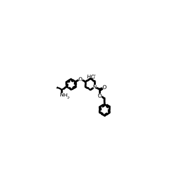 CC(N)c1ccc(OC2CCN(C(=O)OCc3ccccc3)CC2)cc1.Cl